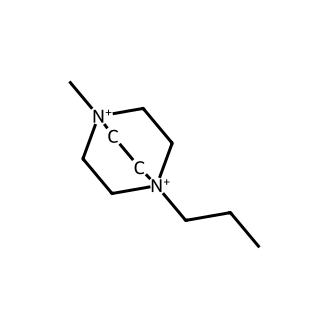 CCC[N+]12CC[N+](C)(CC1)CC2